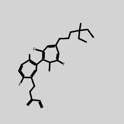 C=CC(=C)CCC1=CC(C2=C(F)C=C(CCCC(C)(CC)CC)C=C(F)C2C)=C(C)C=C=C1F